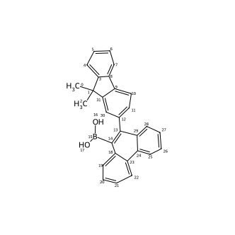 CC1(C)c2ccccc2-c2ccc(-c3c(B(O)O)c4ccccc4c4ccccc34)cc21